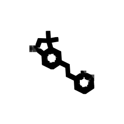 CC1(C)CNc2ccc(CCc3cccnn3)cc21